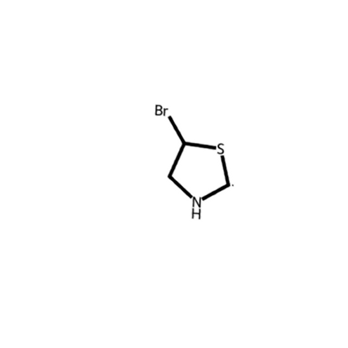 BrC1CN[CH]S1